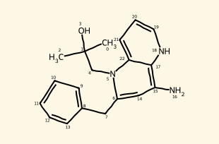 CC(C)(O)CN1C(Cc2ccccc2)=CC(N)=C2NC=CC=C21